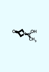 CB(O)N1CC(=O)C1